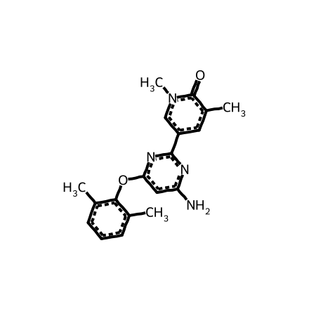 Cc1cccc(C)c1Oc1cc(N)nc(-c2cc(C)c(=O)n(C)c2)n1